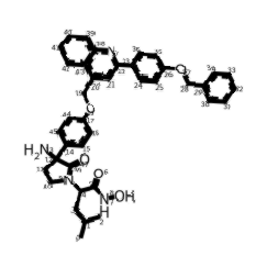 CC(C)CC(C(=O)NO)N1CCC(N)(c2ccc(OCc3cc(-c4ccc(OCc5ccccc5)cc4)nc4ccccc34)cc2)C1=O